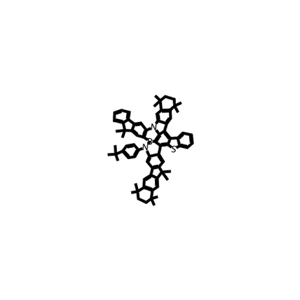 CC(C)(C)c1ccc(N2B3c4cc5c(cc4-n4c6cc7c(cc6c6c8c(sc9ccccc98)c(c3c64)-c3cc4c(cc32)-c2cc3c(cc2C4(C)C)C(C)(C)CCC3(C)C)C(C)(C)CCC7(C)C)-c2ccccc2C5(C)C)cc1